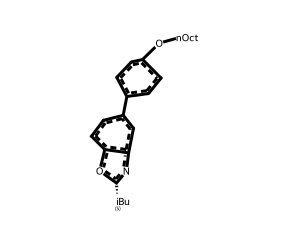 CCCCCCCCOc1ccc(-c2ccc3oc([C@@H](C)CC)nc3c2)cc1